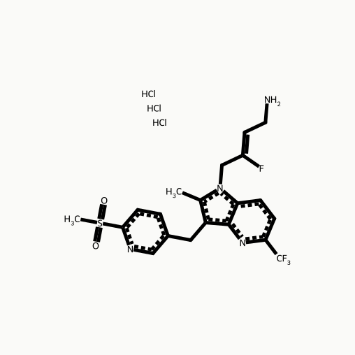 Cc1c(Cc2ccc(S(C)(=O)=O)nc2)c2nc(C(F)(F)F)ccc2n1C/C(F)=C/CN.Cl.Cl.Cl